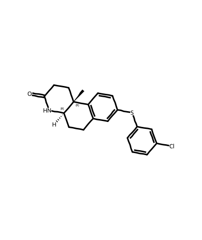 C[C@]12CCC(=O)N[C@@H]1CCc1cc(Sc3cccc(Cl)c3)ccc12